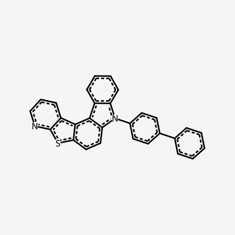 c1ccc(-c2ccc(-n3c4ccccc4c4c5c(ccc43)sc3ncccc35)cc2)cc1